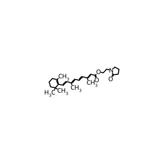 CC1=C(/C=C/C(C)=C/C=C/C(C)=C/C(=O)OCCN2CCCC2=O)C(C)(C)CCC1